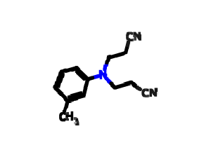 Cc1cccc(N(CCC#N)CCC#N)c1